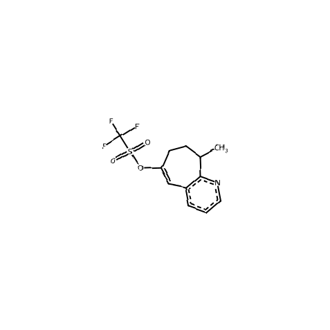 CC1CCC(OS(=O)(=O)C(F)(F)F)=Cc2cccnc21